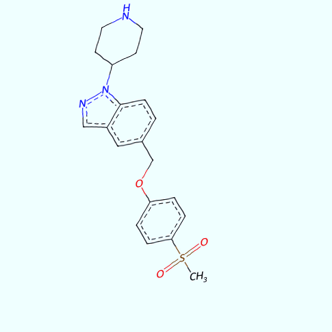 CS(=O)(=O)c1ccc(OCc2ccc3c(cnn3C3CCNCC3)c2)cc1